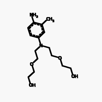 Cc1cc(N(CCOCCO)CCOCCO)ccc1N